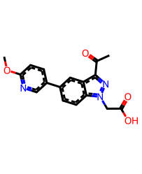 COc1ccc(-c2ccc3c(c2)c(C(C)=O)nn3CC(=O)O)cn1